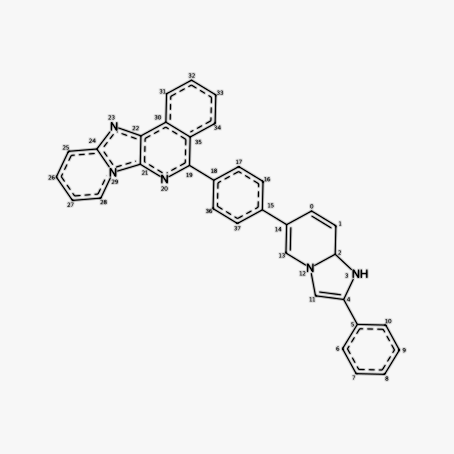 C1=CC2NC(c3ccccc3)=CN2C=C1c1ccc(-c2nc3c(nc4ccccn43)c3ccccc23)cc1